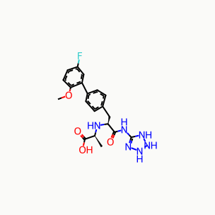 COc1ccc(F)cc1-c1ccc(C[C@H](N[C@@H](C)C(=O)O)C(=O)NC2=NNNN2)cc1